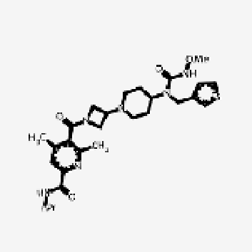 CCCNC(=O)c1cc(C)c(C(=O)N2CC(N3CCC(N(Cc4ccsc4)C(=O)NOC)CC3)C2)c(C)n1